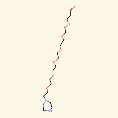 O=CCCOCCOCCOCCOCCOCCOCCN1CCNCC1